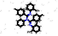 Cc1ccc(/C(=N\c2c(C(C)C)cccc2C(C)C)N(/C(=N/c2c(C(C)C)cccc2C(C)C)c2ccc(C)cc2)c2ccccc2)cc1